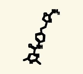 Cc1cc(C(=O)Nc2ccc(CCC3COC(N)=N3)cc2)nc(C)n1